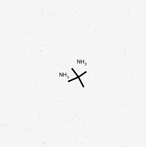 CC(C)(C)C.N.N